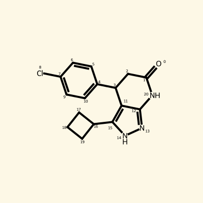 O=C1CC(c2ccc(Cl)cc2)c2c(n[nH]c2C2CCC2)N1